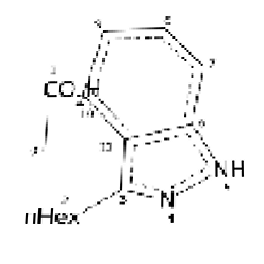 CC(=O)O.CCCCCCc1n[nH]c2ccccc12